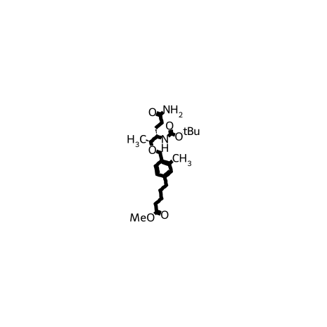 COC(=O)CCCCc1ccc(CO[C@H](C)[C@H](CCC(N)=O)NC(=O)OC(C)(C)C)c(C)c1